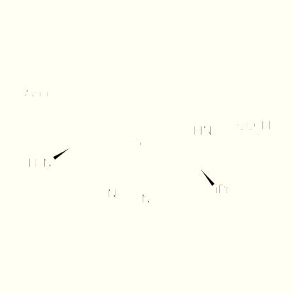 CC(=O)OC[C@H](N)c1nnc([C@@H](NC(=O)O)C(C)C)o1